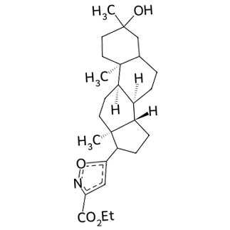 CCOC(=O)c1cc(C2CC[C@H]3[C@@H]4CCC5CC(C)(O)CC[C@]5(C)[C@@H]4CC[C@]23C)on1